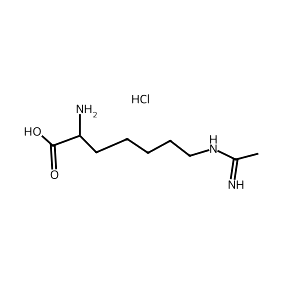 CC(=N)NCCCCCC(N)C(=O)O.Cl